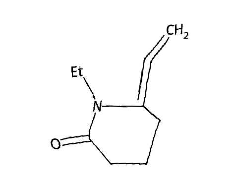 C=C=C1CCCC(=O)N1CC